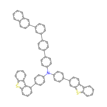 c1cc(-c2ccc(-c3ccc(N(c4ccc(-c5ccc6c(c5)sc5ccccc56)cc4)c4ccc(-c5cccc6sc7ccccc7c56)cc4)cc3)cc2)cc(-c2ccc3ccccc3c2)c1